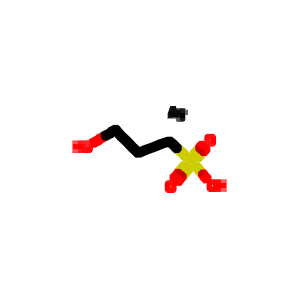 O=S(=O)(O)CCCO.[Ag]